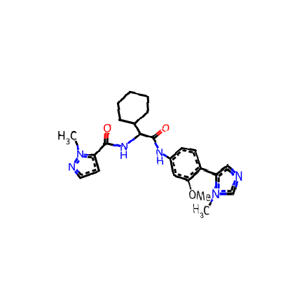 COc1cc(NC(=O)C(NC(=O)c2ccnn2C)C2CCCCC2)ccc1-c1cncn1C